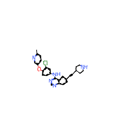 Cc1ccc(Oc2ccc(Nc3ncnc4ccc(C#CC5CCNCC5)cc34)cc2Cl)cn1